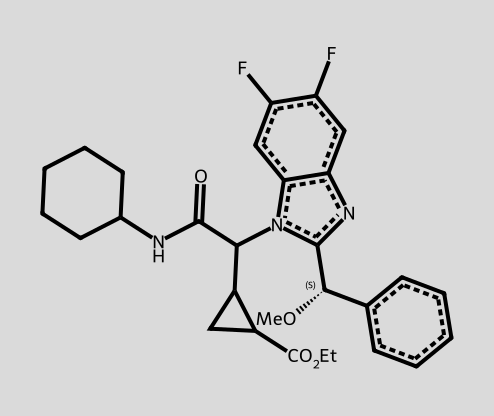 CCOC(=O)C1CC1C(C(=O)NC1CCCCC1)n1c([C@@H](OC)c2ccccc2)nc2cc(F)c(F)cc21